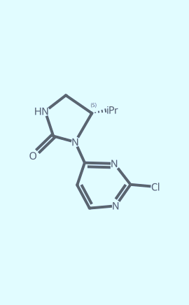 CC(C)[C@H]1CNC(=O)N1c1ccnc(Cl)n1